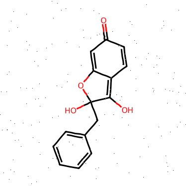 O=C1C=CC2=C(O)C(O)(Cc3ccccc3)OC2=C1